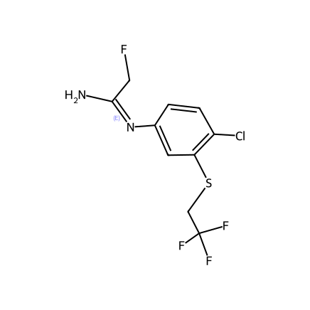 N/C(CF)=N/c1ccc(Cl)c(SCC(F)(F)F)c1